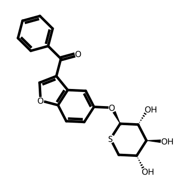 O=C(c1ccccc1)c1coc2ccc(O[C@@H]3SC[C@@H](O)[C@H](O)[C@H]3O)cc12